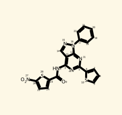 O=C(Nc1nc(-c2cccs2)nc2c1cnn2-c1ccccc1)c1ccc([N+](=O)[O-])s1